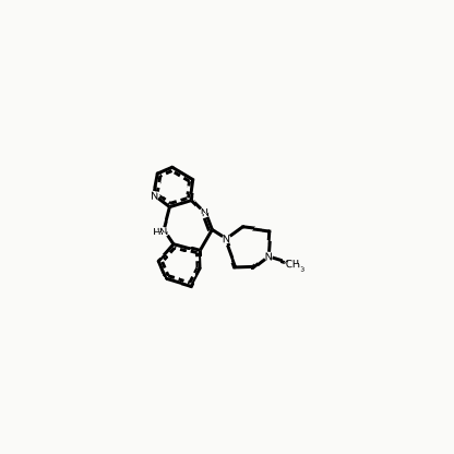 CN1CCN(C2=Nc3cccnc3Nc3ccccc32)CC1